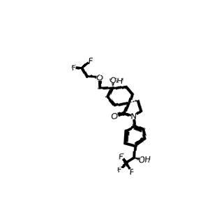 O=C1N(c2ccc([C@@H](O)C(F)(F)F)cc2)CC[C@]12CC[C@](O)(COCC(F)F)CC2